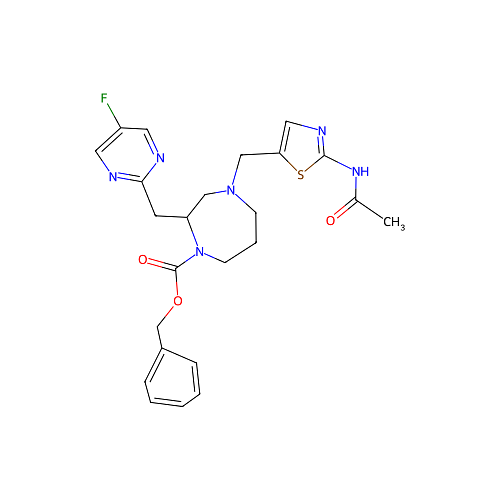 CC(=O)Nc1ncc(CN2CCCN(C(=O)OCc3ccccc3)C(Cc3ncc(F)cn3)C2)s1